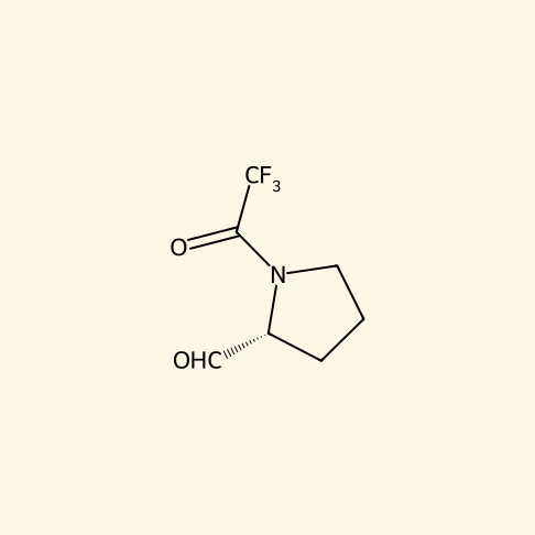 O=C[C@H]1CCCN1C(=O)C(F)(F)F